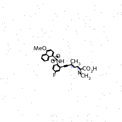 C=N/C(=C\C=C(/C)C#Cc1cc(F)ccc1NS(=O)(=O)c1ccc(OC)c2ccccc12)C(=O)O